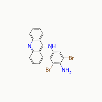 Nc1c(Br)cc(Nc2c3ccccc3nc3ccccc23)cc1Br